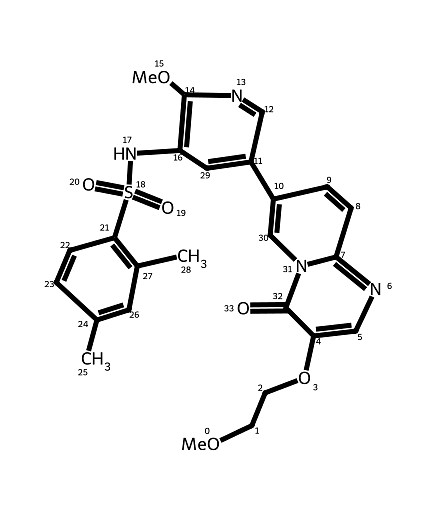 COCCOc1cnc2ccc(-c3cnc(OC)c(NS(=O)(=O)c4ccc(C)cc4C)c3)cn2c1=O